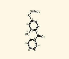 CCCCCCCOc1ccc(C(=O)c2ccccc2)c(O)c1